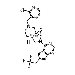 FC(F)(F)Cc1cc2c(N3C[C@H]4CCN(Cc5cccnc5Cl)C[C@]45SC35)ncnc2s1